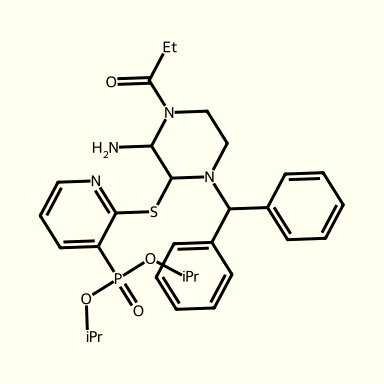 CCC(=O)N1CCN(C(c2ccccc2)c2ccccc2)C(Sc2ncccc2P(=O)(OC(C)C)OC(C)C)C1N